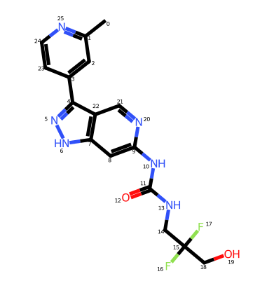 Cc1cc(-c2n[nH]c3cc(NC(=O)NCC(F)(F)CO)ncc23)ccn1